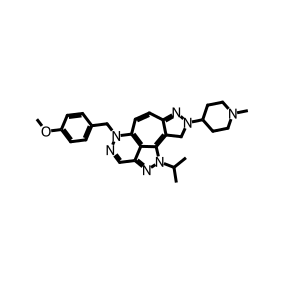 COc1ccc(Cn2ncc3nn(C(C)C)c4c5c(ccc2=c34)=NN(C2CCN(C)CC2)C5)cc1